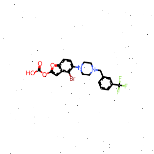 O=C(O)Oc1cc2c(Br)c(N3CCN(Cc4cccc(C(F)(F)F)c4)CC3)ccc2o1